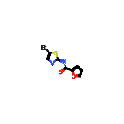 CCC1=C[N]C(=NC(=O)c2ccco2)S1